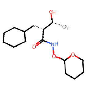 CCC[C@@H](O)[C@@H](CC1CCCCC1)C(=O)NOC1CCCCO1